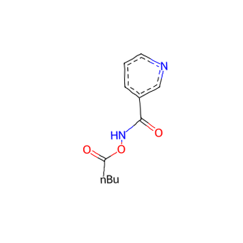 CCCCC(=O)ONC(=O)c1cccnc1